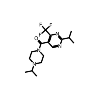 CC(C)c1ncc(C(=O)N2CCN(C(C)C)CC2)c(C(F)(F)F)n1